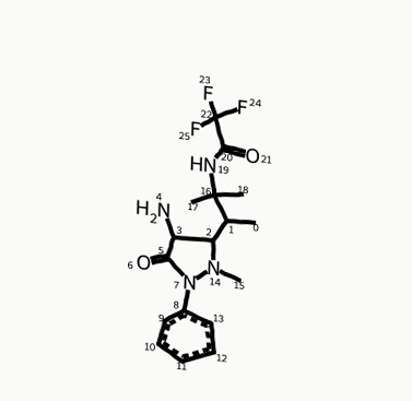 CC(C1C(N)C(=O)N(c2ccccc2)N1C)C(C)(C)NC(=O)C(F)(F)F